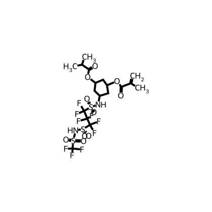 C=C(C)C(=O)OC1CC(NS(=O)(=O)C(F)(F)C(F)(F)C(F)(F)S(=O)(=O)NS(=O)(=O)C(F)(F)F)CC(OC(=O)C(C)C)C1